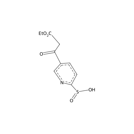 CCOC(=O)CC(=O)c1ccc(S(=O)O)nc1